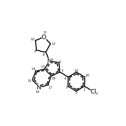 Clc1ccc(-c2cn(C3CCOC3)c3ccncc23)cc1